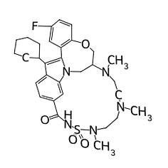 CN1CCN(C)C2COc3ccc(F)cc3-c3c(C4CCCCC4)c4ccc(cc4n3C2)C(=O)NS(=O)(=O)N(C)CC1